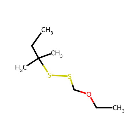 CCOCSSC(C)(C)CC